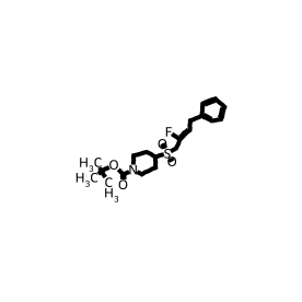 CC(C)(C)OC(=O)N1CCC(S(=O)(=O)CC(F)=CCc2ccccc2)CC1